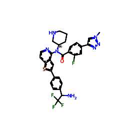 Cn1cc(-c2ccc(C(=O)N(c3nccc4sc(-c5ccc(C(N)C(F)(F)F)cc5)cc34)[C@@H]3CCCNC3)c(F)c2)nn1